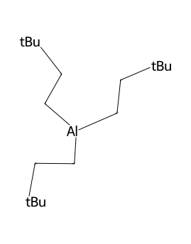 CC(C)(C)C[CH2][Al]([CH2]CC(C)(C)C)[CH2]CC(C)(C)C